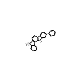 c1ccc(-c2ccc3c(c2)sc2c3ccc3[nH]c4ccccc4c32)cc1